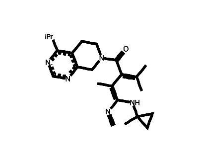 C=N/C(NC1(C)CC1)=C(\C)C(C(=O)N1CCc2c(ncnc2C(C)C)C1)=C(C)C